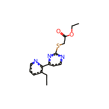 CCOC(=O)CSc1nccc(-c2ncccc2CC)n1